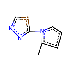 Cc1cccn1-c1nncs1